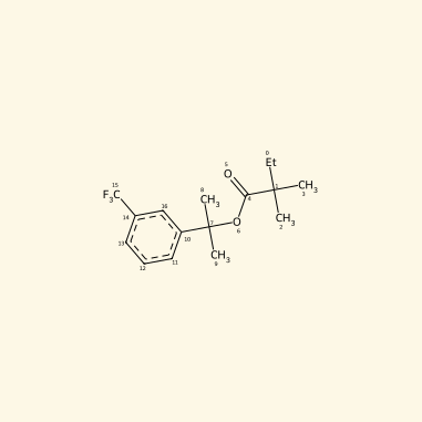 CCC(C)(C)C(=O)OC(C)(C)c1cccc(C(F)(F)F)c1